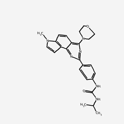 CC(C)NC(=O)Nc1ccc(-c2nc(N3CCOCC3)c3ccc4c(ccn4C)c3n2)cc1